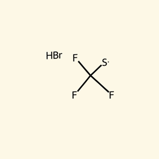 Br.FC(F)(F)[S]